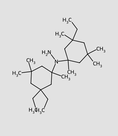 CCC1(C)CC(C)(C)CC(C)(N(N)C2(C)CC(C)(C)CC(CC)(CC)C2)C1